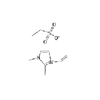 C=C[n+]1ccn(C)c1C.CCS(=O)(=O)[O-]